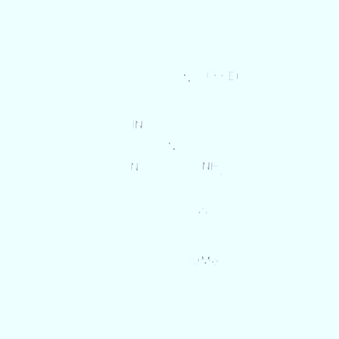 CCOC(=O)N1CCC(Nc2ncc(C(=O)c3cc(F)ccc3OC)c(N)n2)C1